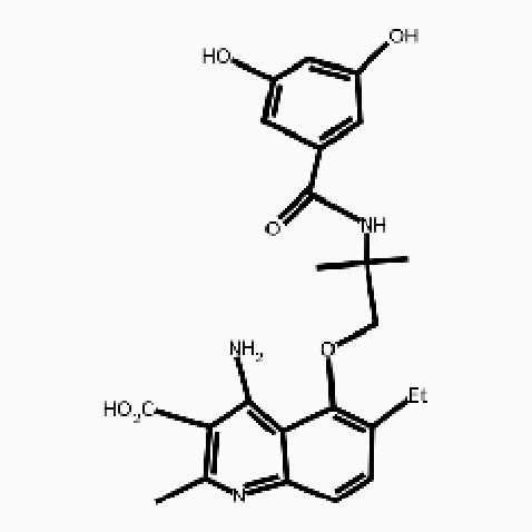 CCc1ccc2nc(C)c(C(=O)O)c(N)c2c1OCC(C)(C)NC(=O)c1cc(O)cc(O)c1